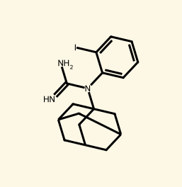 N=C(N)N(c1ccccc1I)C12CC3CC(CC(C3)C1)C2